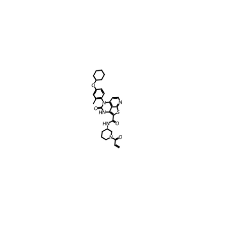 C=CC(=O)N1CCC[C@@H](NC(=O)c2sc3nccc4c3c2NC(=O)N4c2ccc(OC3CCCCC3)cc2C)C1